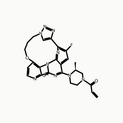 C=CC(=O)N1CCN(c2nc(=O)n3c4nc(c(F)cc24)-c2cn(nn2)CCCOc2ccnc(C(C)C)c2-3)[C@@H](C)C1